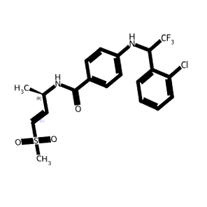 C[C@H](/C=C/S(C)(=O)=O)NC(=O)c1ccc(NC(c2ccccc2Cl)C(F)(F)F)cc1